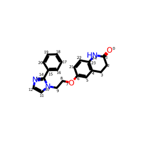 O=C1CCc2cc(OCCn3ccnc3-c3ccccc3)ccc2N1